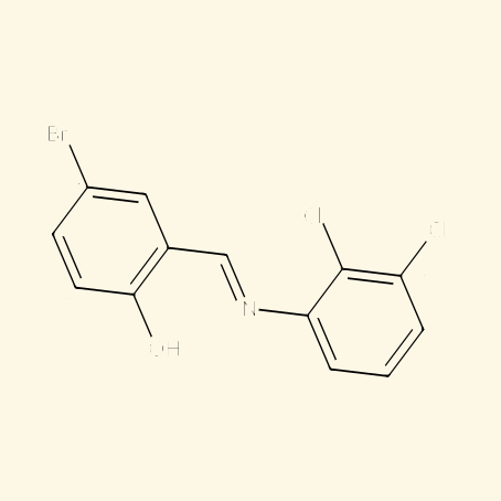 Oc1ccc(Br)cc1C=Nc1cccc(Cl)c1Cl